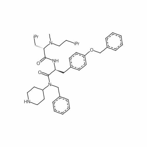 CC(C)CCN(C)[C@@H](CC(C)C)C(=O)N[C@@H](Cc1ccc(OCc2ccccc2)cc1)C(=O)N(Cc1ccccc1)C1CCNCC1